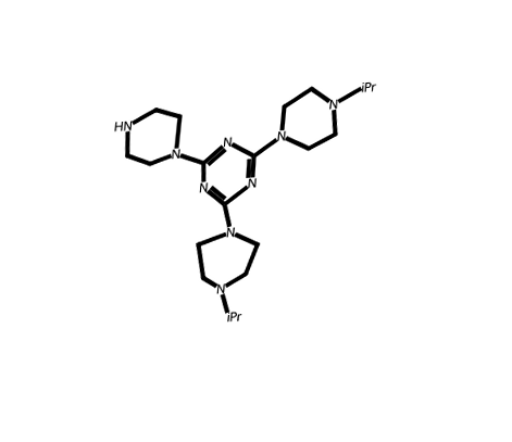 CC(C)N1CCN(c2nc(N3CCNCC3)nc(N3CCN(C(C)C)CC3)n2)CC1